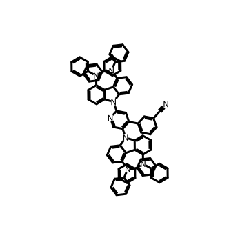 N#Cc1cccc(-c2cc(-n3c4cccc(N(c5ccccc5)c5ccccc5)c4c4c(N(c5ccccc5)c5ccccc5)cccc43)ncc2-n2c3cccc(N(c4ccccc4)c4ccccc4)c3c3c(N(c4ccccc4)c4ccccc4)cccc32)c1